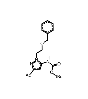 CC(=O)c1cc(NC(=O)OC(C)(C)C)n(CCOCc2ccccc2)n1